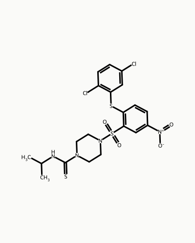 CC(C)NC(=S)N1CCN(S(=O)(=O)c2cc([N+](=O)[O-])ccc2Sc2cc(Cl)ccc2Cl)CC1